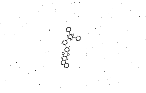 c1ccc(-c2nc(-c3ccccc3)nc(-c3cccc(-c4ccc5c(c4)Oc4nc6ccc7ccccc7c6nc4O5)c3)n2)cc1